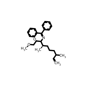 C=CC(C)CCC[C@@H](C)C(N=C(c1ccccc1)c1ccccc1)C(=O)COC